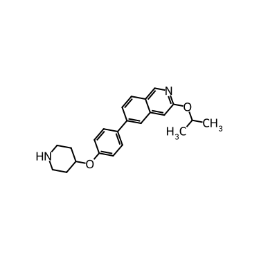 CC(C)Oc1cc2cc(-c3ccc(OC4CCNCC4)cc3)ccc2cn1